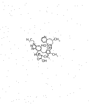 CCn1nnc2c(C)c([C@H](c3cc(CN4C[C@H](C)Cc5ncccc5S4(O)O)c(C)s3)C(C)(C)C(=O)O)ccc21